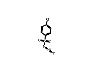 [N-]=[N+]=NS(=O)(=O)c1ccc(Cl)cc1